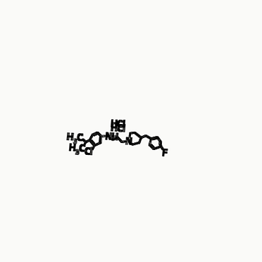 CC(C)c1ccc(NCCCN2CCC(Cc3ccc(F)cc3)CC2)cc1Cl.Cl.Cl